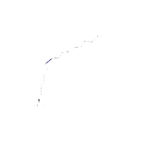 C=CCCCCC/C=C\CCCCCCC=O